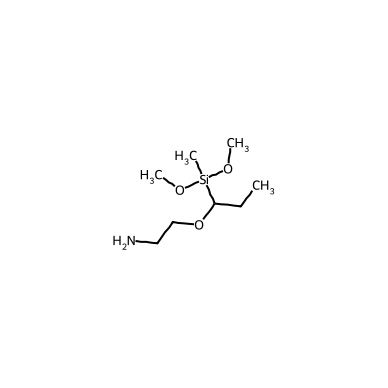 CCC(OCCN)[Si](C)(OC)OC